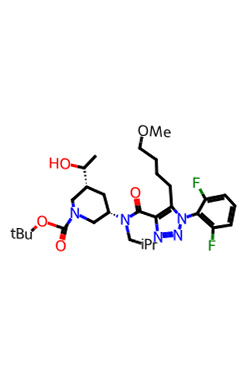 COCCCCc1c(C(=O)N(CC(C)C)[C@H]2C[C@@H](C(C)O)CN(C(=O)OC(C)(C)C)C2)nnn1-c1c(F)cccc1F